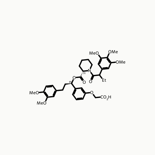 CCC(C(=O)N1CCCC[C@H]1C(=O)O[C@H](CCc1ccc(OC)c(OC)c1)c1cccc(OCC(=O)O)c1)c1cc(OC)c(OC)c(OC)c1